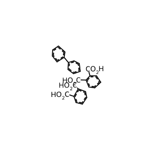 O=C(O)c1ccccc1C(=O)O.O=C(O)c1ccccc1C(=O)O.c1ccc(-c2ccccc2)cc1